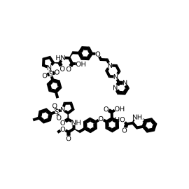 COC(=O)[C@H](Cc1ccc(Oc2ccccc2C(=O)O)cc1)NC(=O)[C@@H]1CCCN1S(=O)(=O)c1ccc(C)cc1.Cc1ccc(S(=O)(=O)N2CCC[C@H]2C(=O)N[C@@H](Cc2ccc(OCCN3CCN(c4ncccn4)CC3)cc2)C(=O)O)cc1.N[C@@H](Cc1ccccc1)C(=O)O